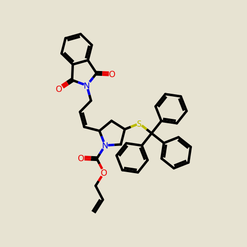 C=CCOC(=O)N1CC(SC(c2ccccc2)(c2ccccc2)c2ccccc2)CC1/C=C\CN1C(=O)c2ccccc2C1=O